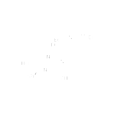 CCC[C@@H](CO)n1cc(C)c2nc(-c3ccc(OCC)nc3CC)c(CC)nc21